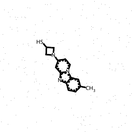 Cc1ccc2nc3cc(N4CC(S)C4)ccn3c2c1